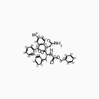 NC(=O)CN(C(=O)[C@H](Cc1ccccc1)NC(=O)OCc1ccccc1)c1ccc(Br)cc1C(=O)c1ccccn1